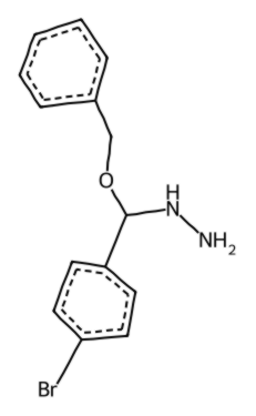 NNC(OCc1ccccc1)c1ccc(Br)cc1